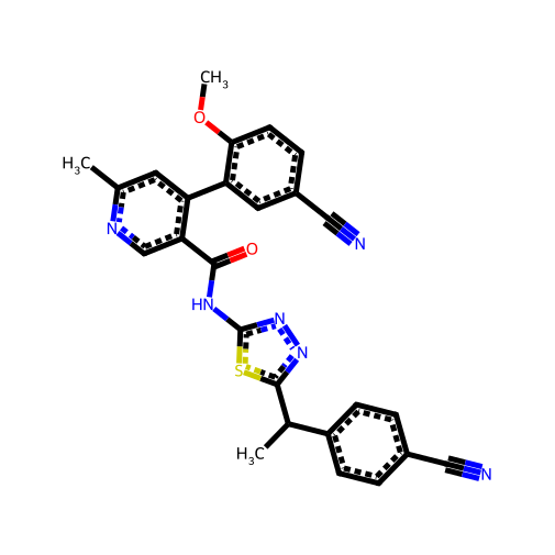 COc1ccc(C#N)cc1-c1cc(C)ncc1C(=O)Nc1nnc(C(C)c2ccc(C#N)cc2)s1